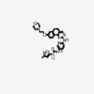 Cc1cc(NC(=O)Nc2ccc(Nc3ncc4c(n3)-c3ccc(OCCN5CCOCC5)cc3CC4)nc2)on1